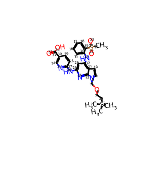 C[Si](C)(C)CCOCn1ccc2c(Nc3ccccc3S(C)(=O)=O)cc(Nc3ccc(C(=O)O)cn3)nc21